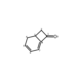 O=C1CC2CC=CC=C12